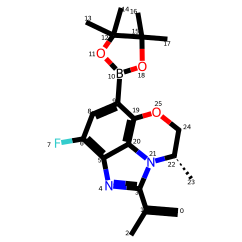 C=C(C)c1nc2c(F)cc(B3OC(C)(C)C(C)(C)O3)c3c2n1[C@@H](C)CO3